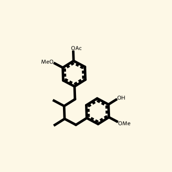 COc1cc(CC(C)C(C)Cc2ccc(OC(C)=O)c(OC)c2)ccc1O